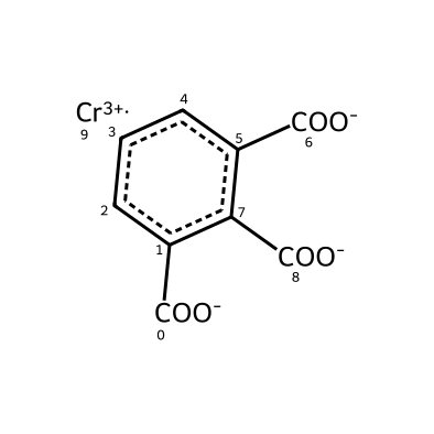 O=C([O-])c1cccc(C(=O)[O-])c1C(=O)[O-].[Cr+3]